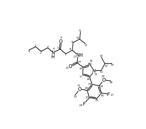 CCCCNC(=O)CC(CC(C)C)NC(=O)c1cc(-c2c(OC)c(F)cc(F)c2OC)n(CC(C)C)n1